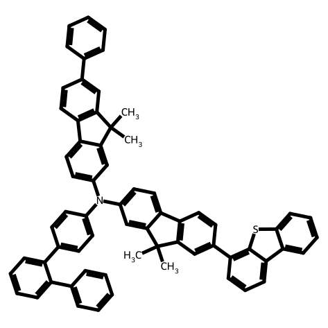 CC1(C)c2cc(-c3ccccc3)ccc2-c2ccc(N(c3ccc(-c4ccccc4-c4ccccc4)cc3)c3ccc4c(c3)C(C)(C)c3cc(-c5cccc6c5sc5ccccc56)ccc3-4)cc21